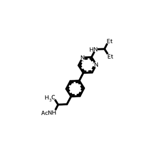 CCC(CC)Nc1ncc(-c2ccc(CC(C)NC(C)=O)cc2)cn1